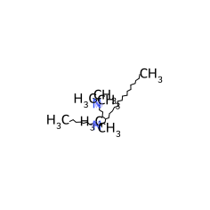 CCCCCCCC/C=N/C(C)(C)CC(CCC/C=N/C(C)(C)C)CCCCCCCCCCCCCCCCC